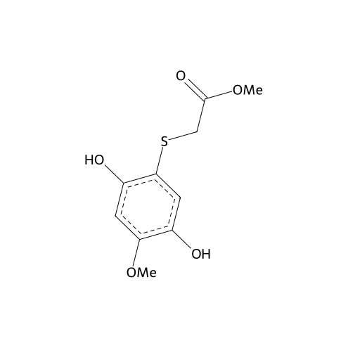 COC(=O)CSc1cc(O)c(OC)cc1O